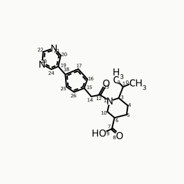 CC(C)C1CCC(C(=O)O)CN1C(=O)Cc1ccc(-c2cncnc2)cc1